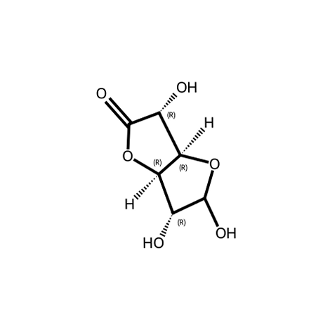 O=C1O[C@H]2[C@H](OC(O)[C@@H]2O)[C@H]1O